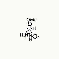 COc1ccc(Nc2ncc(N)c(Nc3cc[c]cc3)n2)cc1